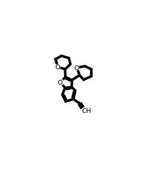 C#Cc1ccc2oc(C3CCCCO3)c(C3CCCCO3)c2c1